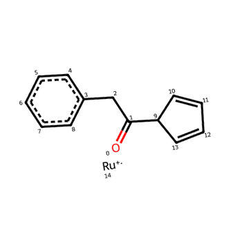 O=C(Cc1ccccc1)C1C=CC=C1.[Ru+]